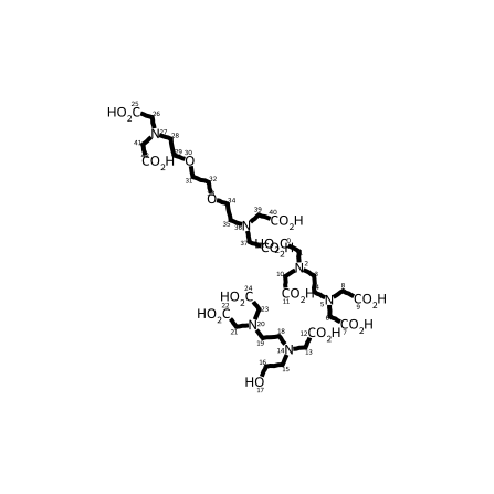 O=C(O)CN(CCN(CC(=O)O)CC(=O)O)CC(=O)O.O=C(O)CN(CCO)CCN(CC(=O)O)CC(=O)O.O=C(O)CN(CCOCCOCCN(CC(=O)O)CC(=O)O)CC(=O)O